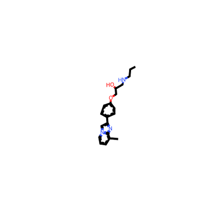 CCCNCC(O)COc1ccc(-c2cn3cccc(C)c3n2)cc1